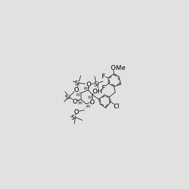 COc1ccc(Cc2cc([C@]3(O)O[C@H](CO[Si](C)(C)C)[C@@H](O[Si](C)(C)C)[C@H](O[Si](C)(C)C)[C@H]3O[Si](C)(C)C)ccc2Cl)c(F)c1F